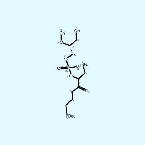 CCCCCCCCCCCCCC(=O)C(CN)OP(=O)(O)OC[C@@H](CO)OO